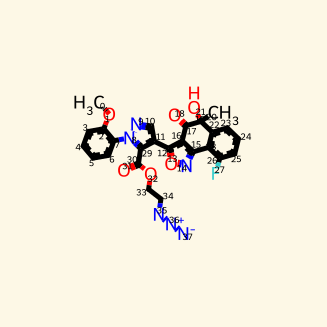 COc1ccccc1-n1ncc(-c2onc3c2C(=O)C(C)(O)c2cccc(F)c2-3)c1C(=O)OCCN=[N+]=[N-]